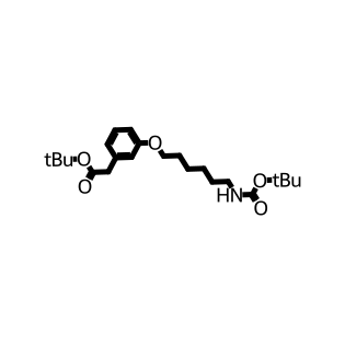 CC(C)(C)OC(=O)Cc1cccc(OCCCCCCNC(=O)OC(C)(C)C)c1